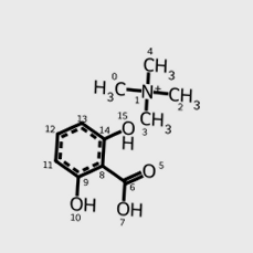 C[N+](C)(C)C.O=C(O)c1c(O)cccc1O